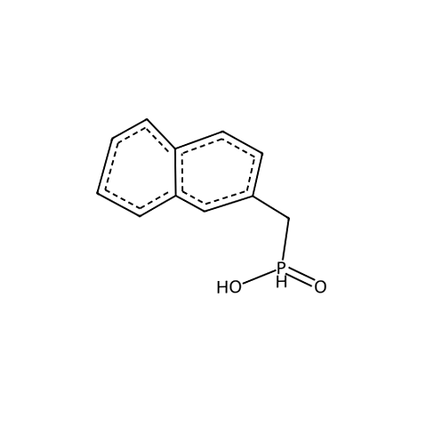 O=[PH](O)Cc1ccc2ccccc2c1